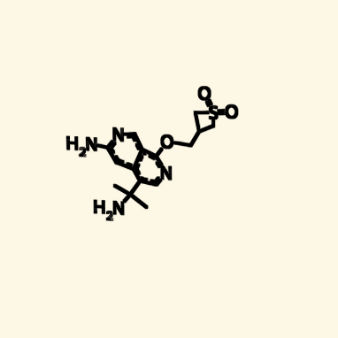 CC(C)(N)c1cnc(OCC2CS(=O)(=O)C2)c2cnc(N)cc12